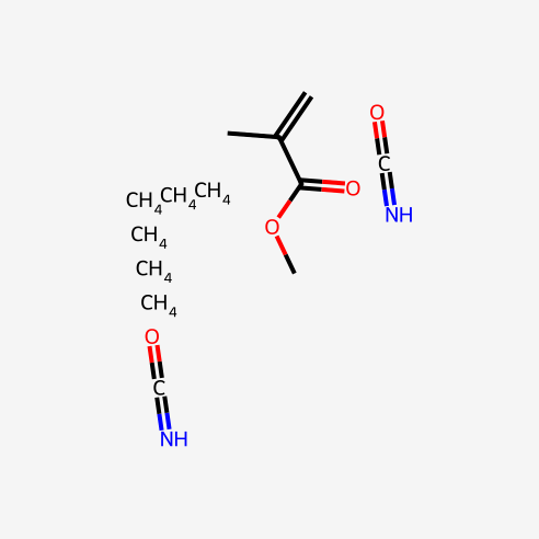 C.C.C.C.C.C.C=C(C)C(=O)OC.N=C=O.N=C=O